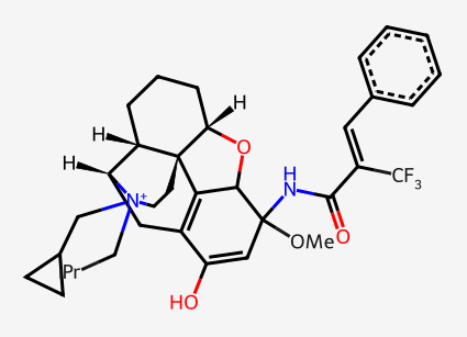 COC1(NC(=O)C(=Cc2ccccc2)C(F)(F)F)C=C(O)C2=C3C1O[C@H]1CCC[C@H]4[C@@H](C2)[N+](CC(C)C)(CC2CC2)CC[C@]314